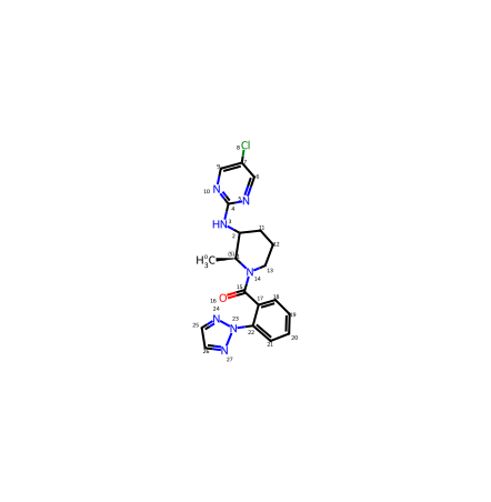 C[C@H]1C(Nc2ncc(Cl)cn2)CCCN1C(=O)c1ccccc1-n1nccn1